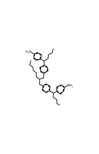 CCCCCCC(Cc1ccc(C(CCCC)c2ccc(N)cc2)cc1)Cc1ccc(C(CCCC)c2ccc(N)cc2)cc1